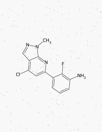 Cn1ncc2c(Cl)cc(-c3cccc(N)c3F)nc21